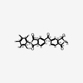 Cc1c(C)c(C)c(N2C(=O)c3ccc(C(=O)c4ccc5c(c4)C(=O)N(C)C5=O)cc3C2=O)c(C)c1C